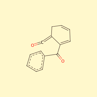 O=C=C1CC=CC=C1C(=O)c1ccccc1